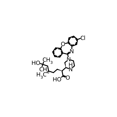 C[C@H](CC[C@H](C(=O)O)[C@H]1CN(C2=Nc3cc(Cl)ccc3Oc3ccccc32)CCN1)CC(C)(C)O